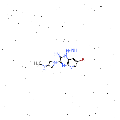 CNC1CN(c2nc3ncc(Br)cc3n(N=N)c2=N)C1